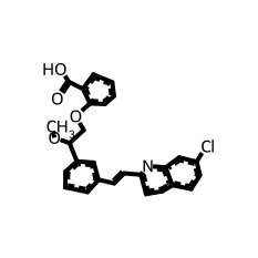 COC(COc1ccccc1C(=O)O)c1cccc(/C=C/c2ccc3ccc(Cl)cc3n2)c1